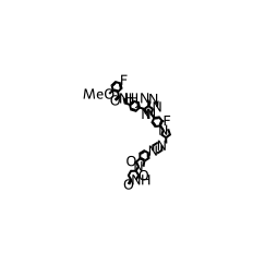 COc1ccc(F)cc1C(=O)NCc1ccc(-c2nn(-c3ccc(N4CCC(CN5CCN(c6ccc7c(c6)CN(C6CCC(=O)NC6=O)C7=O)CC5)C4)c(F)c3)c3ncnc(N)c23)cc1